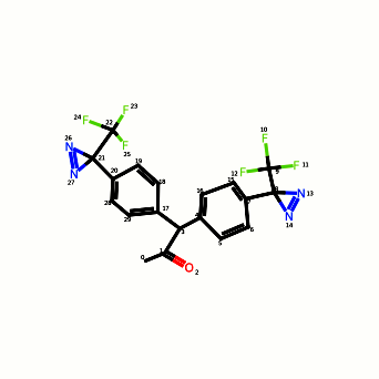 CC(=O)C(c1ccc(C2(C(F)(F)F)N=N2)cc1)c1ccc(C2(C(F)(F)F)N=N2)cc1